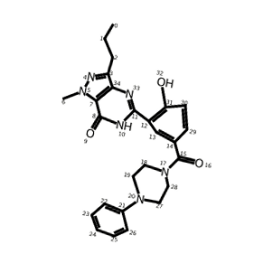 CCCc1nn(C)c2c(=O)[nH]c(-c3cc(C(=O)N4CCN(c5ccccc5)CC4)ccc3O)nc12